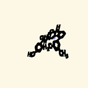 Cc1cc(C)cc(-c2cccc3c2/C(=C/NNC(=O)c2ccc(O)cc2)C(=O)N3)c1